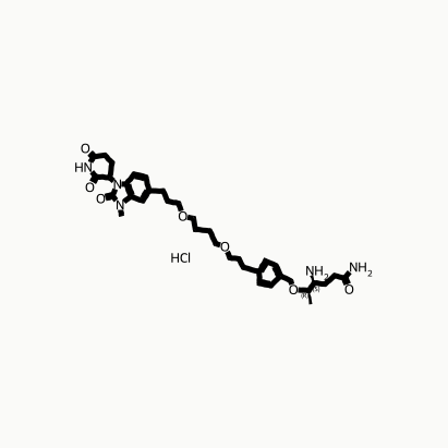 C[C@@H](OCc1ccc(CCCOCCCCOCCCc2ccc3c(c2)n(C)c(=O)n3C2CCC(=O)NC2=O)cc1)[C@@H](N)CCC(N)=O.Cl